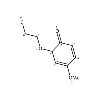 COC1=CC(OCCCl)C(=O)C=C1